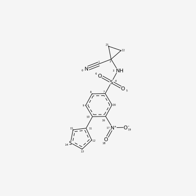 N#CC1(NS(=O)(=O)c2ccc(-c3ccsc3)c([N+](=O)[O-])c2)CC1